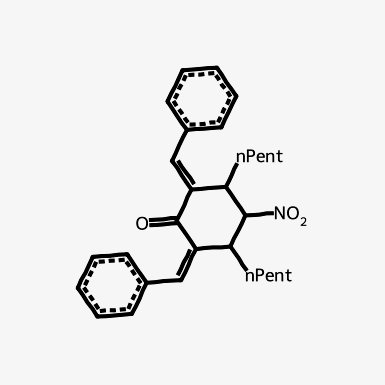 CCCCCC1C(=Cc2ccccc2)C(=O)C(=Cc2ccccc2)C(CCCCC)C1[N+](=O)[O-]